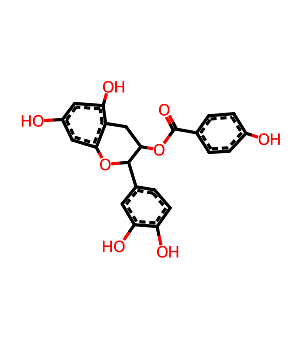 O=C(OC1Cc2c(O)cc(O)cc2OC1c1ccc(O)c(O)c1)c1ccc(O)cc1